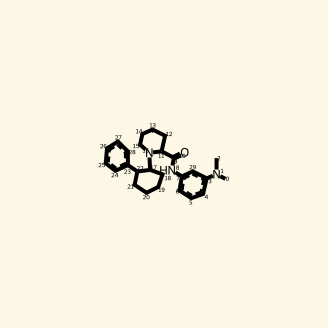 CN(C)c1cccc(NC(=O)C2C[CH]CCN2C2CCCCC2c2ccccc2)c1